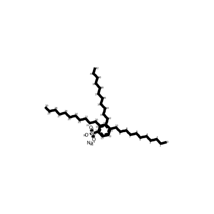 CCCCCCCCCCCc1ccc(S(=O)(=O)[O-])c(CCCCCCCCCCC)c1CCCCCCCCCCC.[Na+]